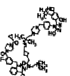 CC(C)c1cc(-c2nnc(O)n2-c2ccc(CN3CCN(CCC(C)(C)SSCC4CC(CC(=O)N(CCN(C)C)Cn5nc(Cc6ccc(F)c(C(=O)N7CCN(C(=O)C8CC8)CC7)c6)c6ccccc6c5=O)C4)CC3)cc2)c(O)cc1O